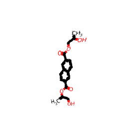 CC(O)COC(=O)c1ccc2cc(C(=O)OC(C)CO)ccc2c1